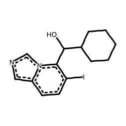 OC(c1c(I)ccc2cncn12)C1CCCCC1